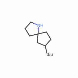 CC(C)(C)C1CCC2(CCCN2)C1